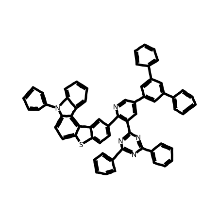 c1ccc(-c2cc(-c3ccccc3)cc(-c3cnc(-c4ccc5sc6ccc7c(c8ccccc8n7-c7ccccc7)c6c5c4)c(-c4nc(-c5ccccc5)nc(-c5ccccc5)n4)c3)c2)cc1